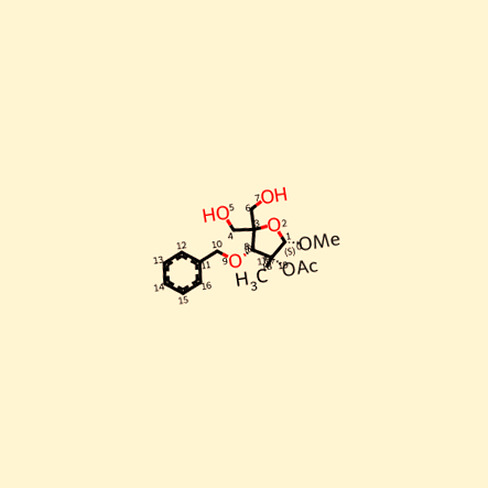 CO[C@H]1OC(CO)(CO)[C@@H](OCc2ccccc2)[C@@]1(C)OC(C)=O